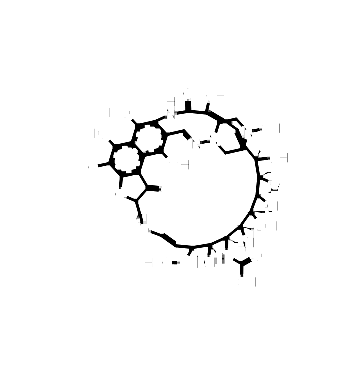 CO[C@H]1/C=C/O[C@@]2(C)Oc3c(C)c(O)c4c(O)c(c(/C=N/N5CCN(C)CC5)c(O)c4c3C2=O)NC(=O)/C(C)=C\C=C\[C@H](C)[C@H](O)[C@@H](C)[C@H](O)[C@H](C)[C@H](OC(C)=O)[C@@H]1C